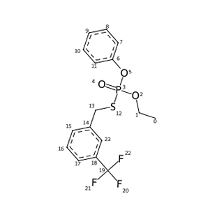 CCOP(=O)(Oc1ccccc1)SCc1cccc(C(F)(F)F)c1